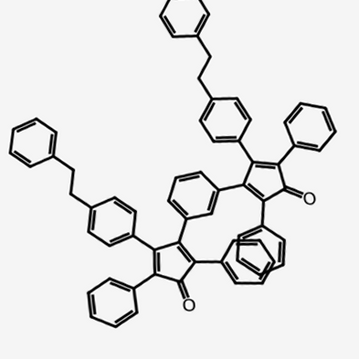 O=C1C(c2ccccc2)=C(c2ccc(CCc3ccccc3)cc2)C(c2cccc(C3=C(c4ccccc4)C(=O)C(c4ccccc4)=C3c3ccc(CCc4ccccc4)cc3)c2)=C1c1ccccc1